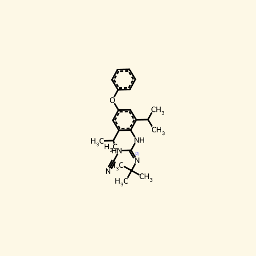 CC(C)c1cc(Oc2ccccc2)cc(C(C)C)c1N/C(=N/C(C)(C)C)NC#N